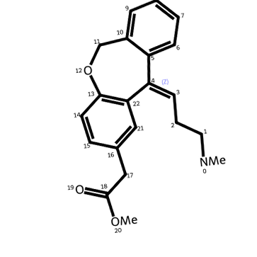 CNCC/C=C1/c2ccccc2COc2ccc(CC(=O)OC)cc21